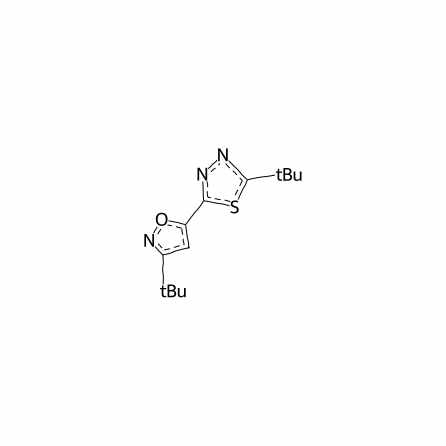 CC(C)(C)c1cc(-c2nnc(C(C)(C)C)s2)on1